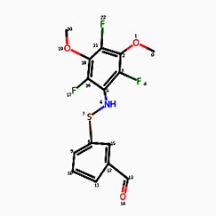 COc1c(F)c(NSc2cccc(C=O)c2)c(F)c(OC)c1F